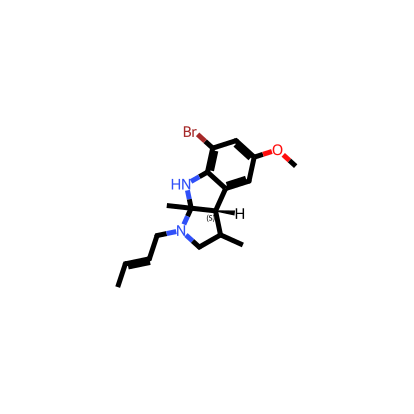 CC=CCN1CC(C)[C@H]2c3cc(OC)cc(Br)c3NC21C